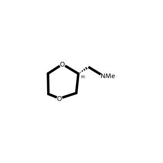 CNC[C@@H]1COCCO1